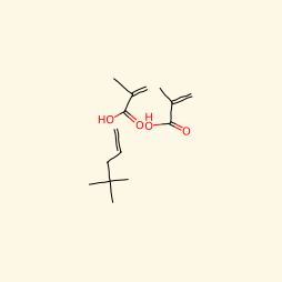 C=C(C)C(=O)O.C=C(C)C(=O)O.C=CCC(C)(C)C